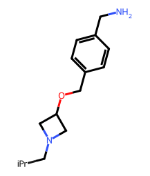 CC(C)CN1CC(OCc2ccc(CN)cc2)C1